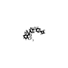 Cc1nc2cccc(C(F)(F)F)c2c(=O)n1-c1cnc(OC2CCN(C3CCC3)CC2)nc1